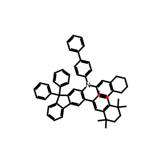 Cc1cc2c(cc1-c1cc3c(cc1N(c1ccc(-c4ccccc4)cc1)c1ccc4c(c1)CCCC4)C(c1ccccc1)(c1ccccc1)c1ccccc1-3)C(C)(C)CCC2(C)C